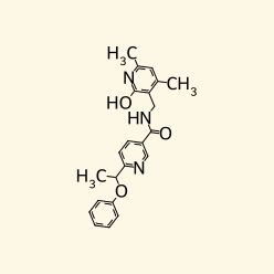 Cc1cc(C)c(CNC(=O)c2ccc(C(C)Oc3ccccc3)nc2)c(O)n1